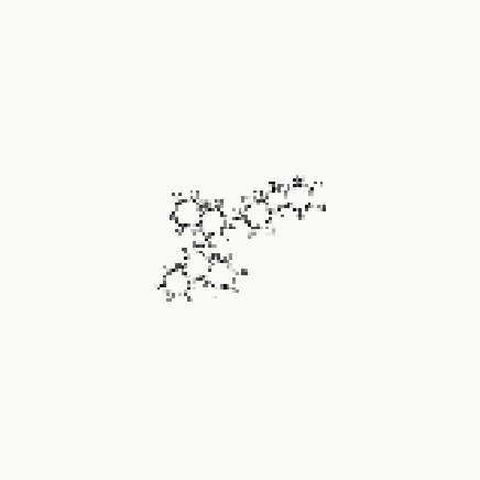 C1=CC2=c3ccccc3=CC(c3cc(-c4ccc5c(c4)sc4ccccc45)cc4ccccc34)C2C=C1